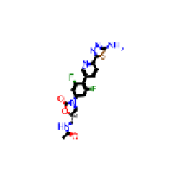 CC(=O)NC[C@H]1CN(c2cc(F)c(-c3ccc(-c4nnc(N)s4)nc3)c(F)c2)C(=O)O1